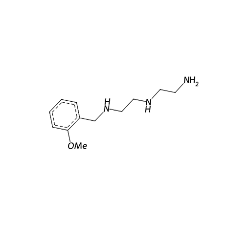 COc1ccccc1CNCCNCCN